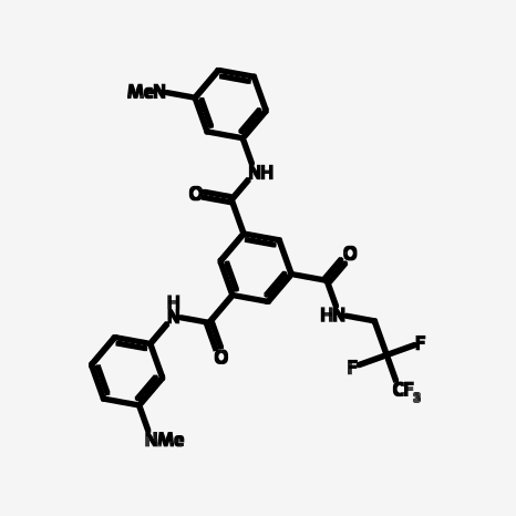 CNc1cccc(NC(=O)c2cc(C(=O)NCC(F)(F)C(F)(F)F)cc(C(=O)Nc3cccc(NC)c3)c2)c1